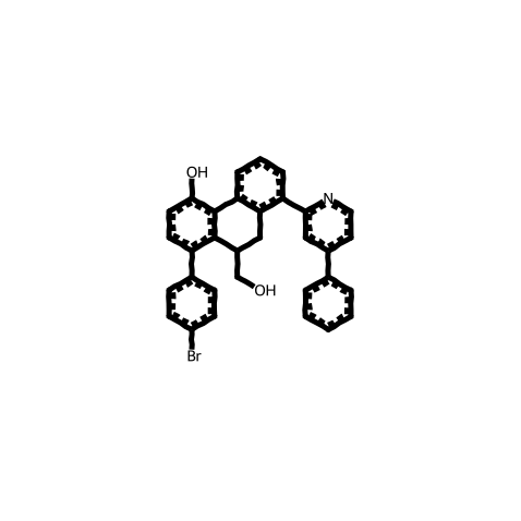 OCC1Cc2c(-c3cc(-c4ccccc4)ccn3)cccc2-c2c(O)ccc(-c3ccc(Br)cc3)c21